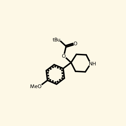 COc1ccc(C2(OC(=O)C(C)(C)C)CCNCC2)cc1